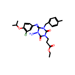 CCOC(=O)CCn1c(=O)n(N)/c(=N\c2ccc(OC(C)C)c(Cl)c2)n(Cc2ccc(C)cc2)c1=O